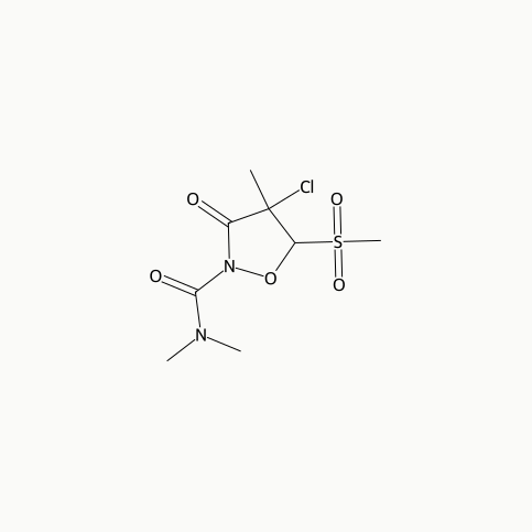 CN(C)C(=O)N1OC(S(C)(=O)=O)C(C)(Cl)C1=O